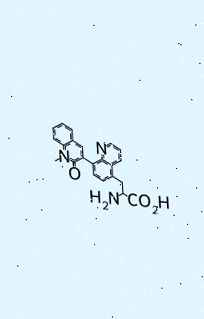 Cn1c(=O)c(-c2ccc(CC(N)C(=O)O)c3cccnc23)cc2ccccc21